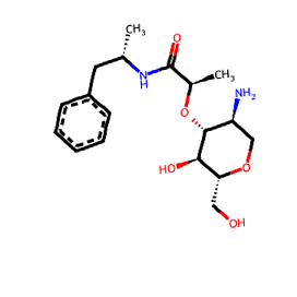 C[C@@H](Cc1ccccc1)NC(=O)[C@@H](C)O[C@H]1[C@H](O)[C@@H](CO)OC[C@@H]1N